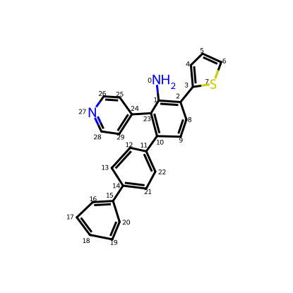 Nc1c(-c2cccs2)ccc(-c2ccc(-c3ccccc3)cc2)c1-c1ccncc1